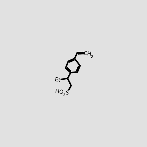 C=Cc1ccc(C(CC)CS(=O)(=O)O)cc1